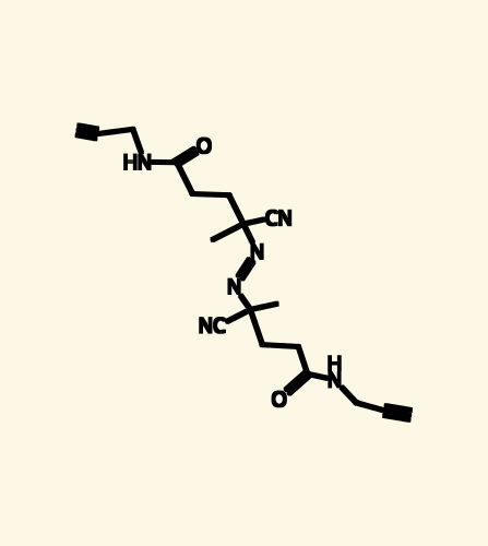 C#CCNC(=O)CCC(C)(C#N)/N=N/C(C)(C#N)CCC(=O)NCC#C